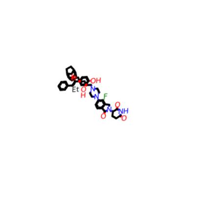 CC/C(=C(\c1ccc(O)cc1)C1C2=C3CCC(=C1CC2)C3OCCCC(O)CN1CCN(c2ccc3c(c2F)CN(C2CCC(=O)NC2=O)C3=O)CC1)c1ccccc1